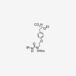 CCCCCCN(CCOc1ccc(CC(OCC)C(=O)O)cc1)C(=O)NC(C)C